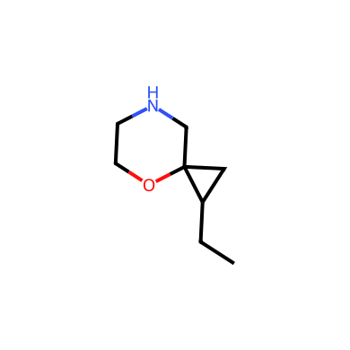 CCC1CC12CNCCO2